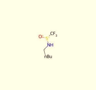 CCCCCN[S+]([O-])C(F)(F)F